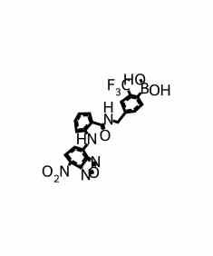 O=C(NCc1ccc(B(O)O)c(C(F)(F)F)c1)c1ccccc1Nc1ccc([N+](=O)[O-])c2nonc12